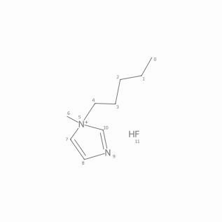 CCCCC[N+]1(C)C=CN=C1.F